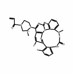 C=CC(=O)N1CCN(c2nc(=O)n3c4nc(c(F)cc24)-c2c(F)cccc2NC(=O)CN(C)c2cccc(C(C)C)c2-3)[C@@H](C)C1